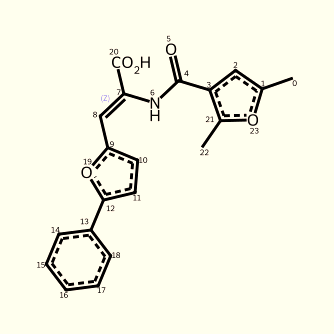 Cc1cc(C(=O)N/C(=C\c2ccc(-c3ccccc3)o2)C(=O)O)c(C)o1